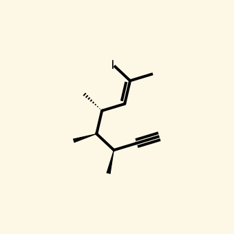 C#C[C@@H](C)[C@@H](C)[C@H](C)/C=C(/C)I